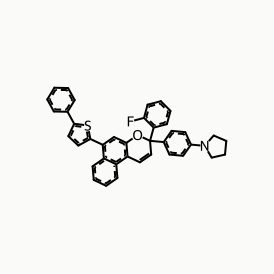 Fc1ccccc1C1(c2ccc(N3CCCC3)cc2)C=Cc2c(cc(-c3ccc(-c4ccccc4)s3)c3ccccc23)O1